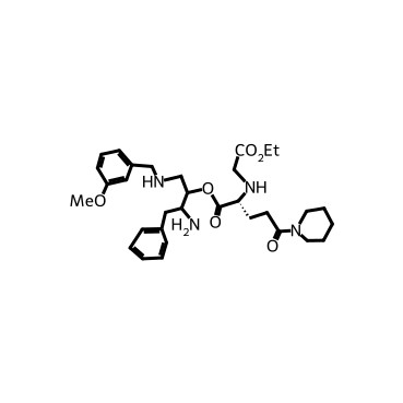 CCOC(=O)CN[C@H](CCC(=O)N1CCCCC1)C(=O)OC(CNCc1cccc(OC)c1)C(N)Cc1ccccc1